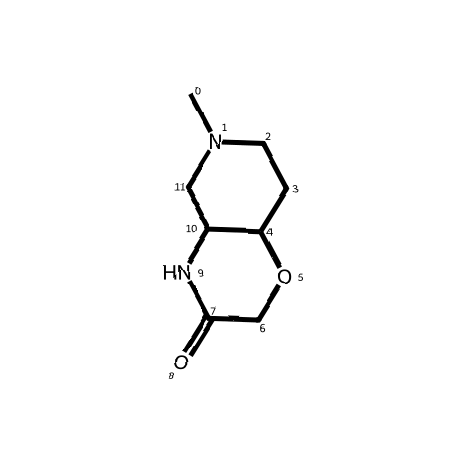 CN1CCC2OCC(=O)NC2C1